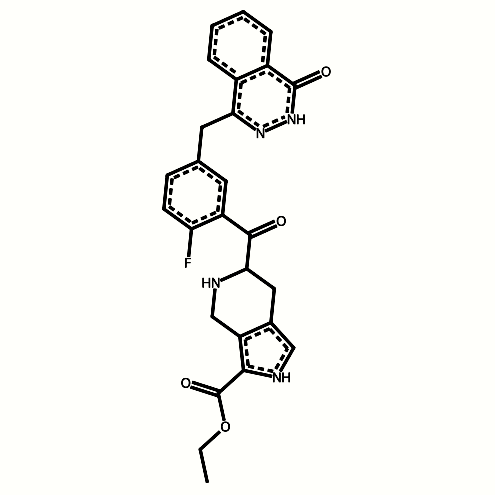 CCOC(=O)c1[nH]cc2c1CNC(C(=O)c1cc(Cc3n[nH]c(=O)c4ccccc34)ccc1F)C2